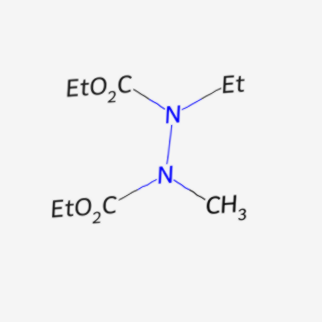 CCOC(=O)N(C)N(CC)C(=O)OCC